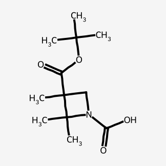 CC(C)(C)OC(=O)C1(C)CN(C(=O)O)C1(C)C